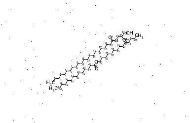 CCCCCCCCCCCCCCCCCCCCCC(=O)OCC(O)CO.CCCCCCCCCCCCCCOC(=O)CCCCCCCCCCCCC